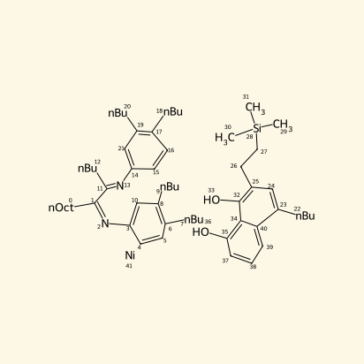 CCCCCCCCC(=Nc1ccc(CCCC)c(CCCC)c1)C(CCCC)=Nc1ccc(CCCC)c(CCCC)c1.CCCCc1cc(CC[Si](C)(C)C)c(O)c2c(O)cccc12.[Ni]